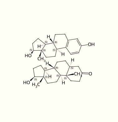 C[C@]12CCC(=O)C[C@@H]1CC[C@@H]1[C@@H]2CC[C@]2(C)[C@@H](O)CC[C@@H]12.C[C@]12CC[C@@H]3c4ccc(O)cc4CC[C@H]3[C@@H]1CC[C@@H]2O